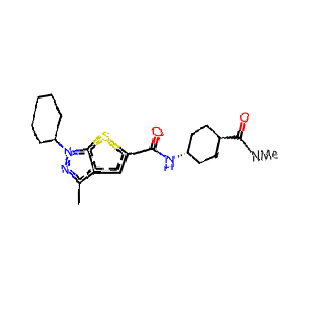 CNC(=O)[C@H]1CC[C@H](NC(=O)c2cc3c(C)nn(C4CCCCC4)c3s2)CC1